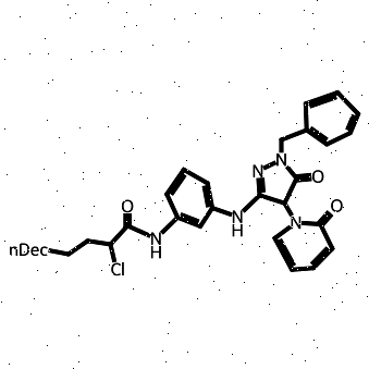 CCCCCCCCCCCCC(Cl)C(=O)Nc1cccc(NC2=NN(Cc3ccccc3)C(=O)C2n2ccccc2=O)c1